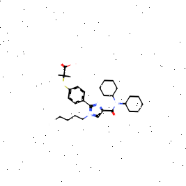 CCCCCn1cc(C(=O)N(C2CCCCC2)C2CCCCC2)nc1-c1ccc(SC(C)(C)C(=O)O)cc1